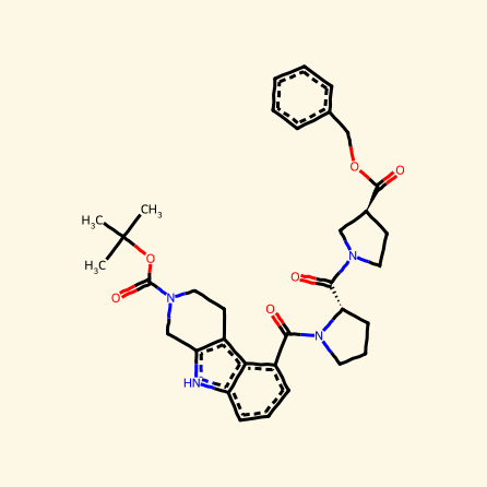 CC(C)(C)OC(=O)N1CCc2c([nH]c3cccc(C(=O)N4CCC[C@H]4C(=O)N4CC[C@H](C(=O)OCc5ccccc5)C4)c23)C1